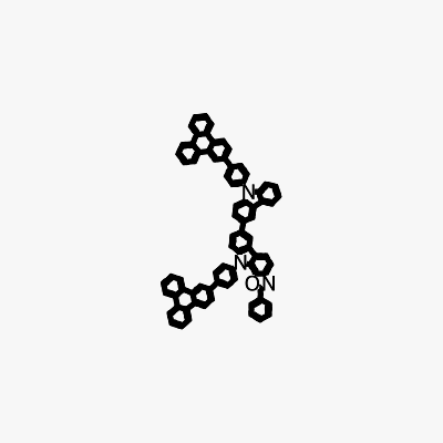 c1ccc(-c2nc3ccc4c5cc(-c6ccc7c(c6)c6ccccc6n7-c6ccc(-c7ccc8c9ccccc9c9ccccc9c8c7)cc6)ccc5n(-c5ccc(-c6ccc7c8ccccc8c8ccccc8c7c6)cc5)c4c3o2)cc1